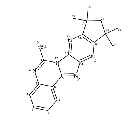 CC(C)(C)c1nc2ccccc2c2nc3nc4c(nc3n12)C(C)(C)CC4(C)C